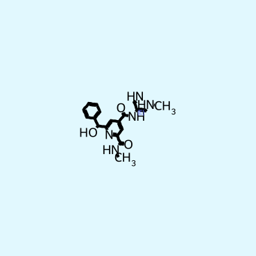 CN/C=C(\C=N)NC(=O)c1cc(C(=O)NC)nc(C(O)c2ccccc2)c1